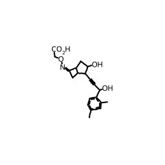 Cc1ccc(C(O)C#CC2C(O)CC3/C(=N\OCC(=O)O)CC32)c(C)c1